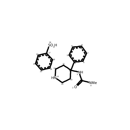 CNC(=O)NC1(c2ccccc2)CCNCC1.O=S(=O)(O)c1ccccc1